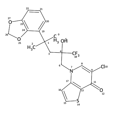 CC(C)(CC(O)(Cn1cc(Cl)c(=O)c2sccc21)C(F)(F)F)c1cccc2c1OCO2